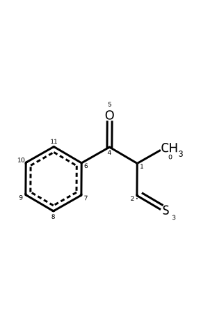 CC([C]=S)C(=O)c1ccccc1